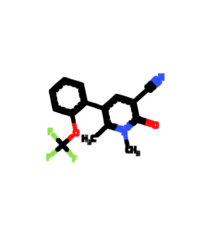 Cc1c(-c2ccccc2OC(F)(F)F)cc(C#N)c(=O)n1C